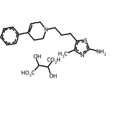 Cc1nc(N)sc1CCCN1CC=C(c2ccccc2)CC1.O=C(O)C(O)C(O)C(=O)O